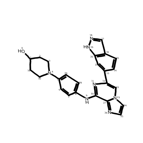 OC1CCN(c2ccc(Nc3nc(-c4ccc5cn[nH]c5c4)cn4ccnc34)cc2)CC1